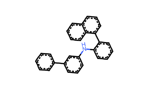 c1ccc(-c2cccc(Nc3ccccc3-c3cccc4ccccc34)c2)cc1